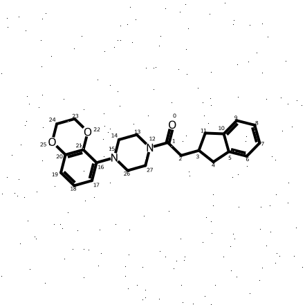 O=C(CC1Cc2ccccc2C1)N1CCN(c2cccc3c2OCCO3)CC1